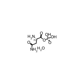 NC(=O)C[C@H](N)C(=O)OP(=O)(O)O.O